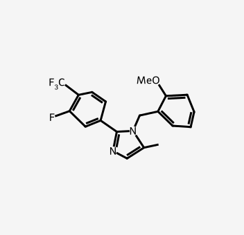 COc1ccccc1Cn1c(C)cnc1-c1ccc(C(F)(F)F)c(F)c1